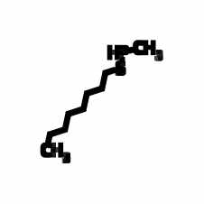 CCCCCCCCSPC